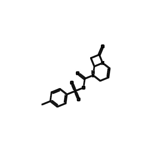 Cc1ccc(S(=O)(=O)OC(=O)[SH]2CC=CN3C(=O)CC32)cc1